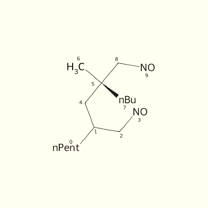 CCCCCC(CN=O)C[C@@](C)(CCCC)CN=O